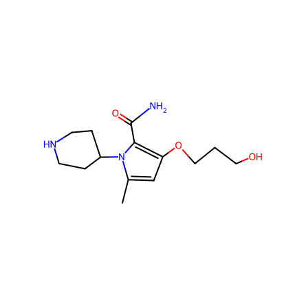 Cc1cc(OCCCO)c(C(N)=O)n1C1CCNCC1